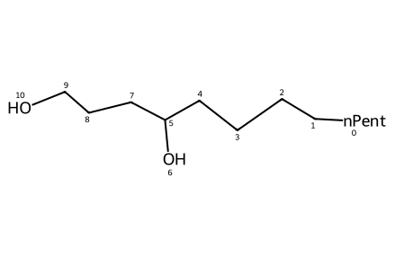 CCCCCCCCCC(O)CCCO